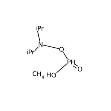 C.CC(C)N(O[PH](=O)O)C(C)C